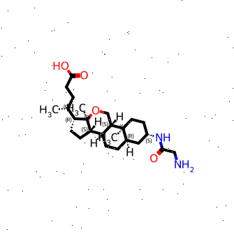 C[C@H](CCC(=O)O)[C@H]1CC[C@H]2[C@@H]3CC[C@@H]4C[C@@H](NC(=O)CN)CC[C@]4(C)[C@H]3CO[C@]12C